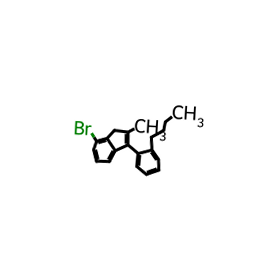 CCCCc1ccccc1C1=C(C)Cc2c(Br)cccc21